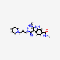 CNC(=O)c1ccc2c(C(=N)NCCCN3CCCCC3)c(NC)[nH]c2c1